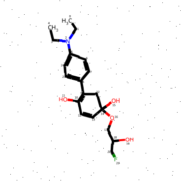 CCN(CC)c1ccc(C2=C(O)C=CC(O)(OCC(O)CF)C2)cc1